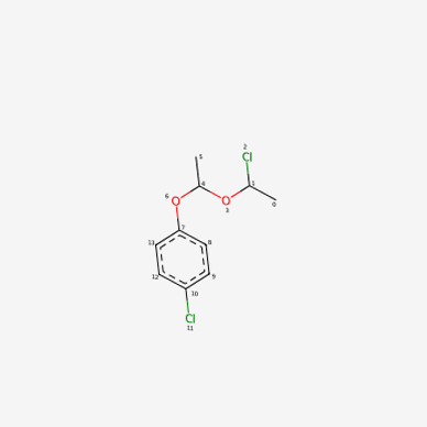 CC(Cl)OC(C)Oc1ccc(Cl)cc1